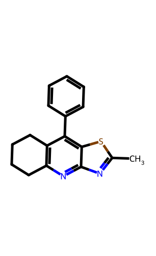 Cc1nc2nc3c(c(-c4ccccc4)c2s1)CCCC3